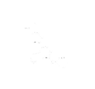 CCCc1cccc(Nc2nnc(-c3ccc(C(=O)OC)cc3)c3ccncc23)c1